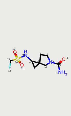 NC(=O)N1CCC2(CC2NS(=O)(=O)CF)C1